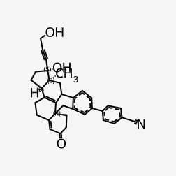 C[C@]12CC3C4=C(CCC5=CC(=O)CC[C@@]54Cc4cc(-c5ccc(C#N)cc5)ccc43)[C@@H]1CC[C@@]2(O)C#CCO